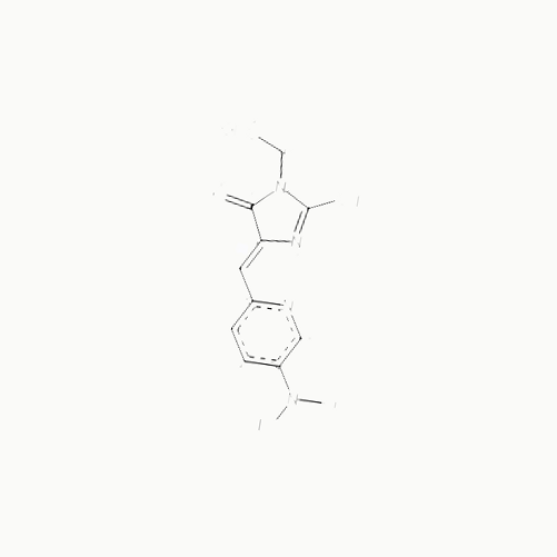 CCN(CC)c1ccc(/C=C2\N=C(C)N(CC=O)C2=O)nc1